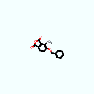 O=C1OC(=O)c2c1ccc(OCc1ccccc1)c2[N+](=O)[O-]